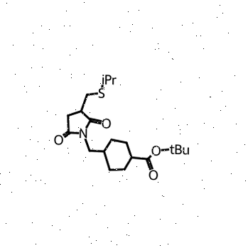 CC(C)SCC1CC(=O)N(CC2CCC(C(=O)OC(C)(C)C)CC2)C1=O